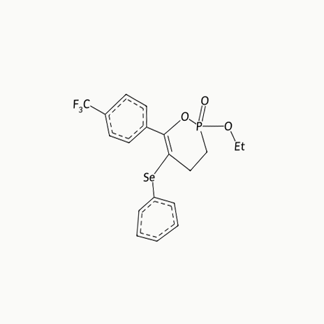 CCOP1(=O)CCC([Se]c2ccccc2)=C(c2ccc(C(F)(F)F)cc2)O1